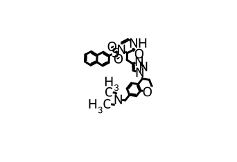 CCN(CC)Cc1ccc2c(c1)OCCC2n1cc(CC2C(=O)NC=CN2S(=O)(=O)c2ccc3ccccc3c2)nn1